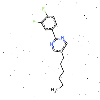 CCCCCCc1cnc(-c2ccc(F)c(F)c2)nc1